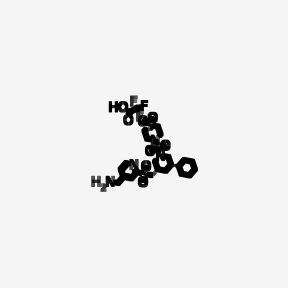 NCc1ccnc(S(=O)(=O)C[C@H]2C[C@@H](C3CCCCC3)CN(S(=O)(=O)N3CCS(=O)(=O)CC3)C2)c1.O=C(O)C(F)(F)F